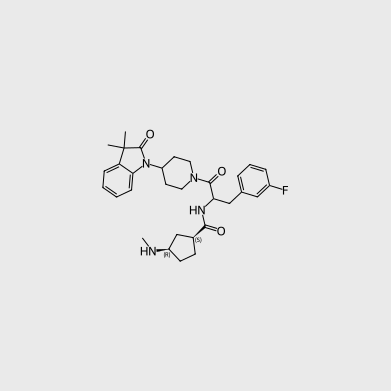 CN[C@@H]1CC[C@H](C(=O)NC(Cc2cccc(F)c2)C(=O)N2CCC(N3C(=O)C(C)(C)c4ccccc43)CC2)C1